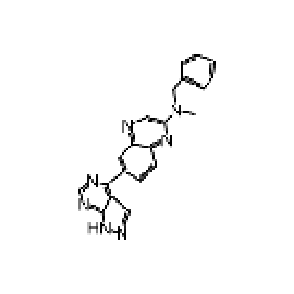 CN(Cc1ccccc1)c1cnc2cc(-c3ncnc4[nH]ncc34)ccc2n1